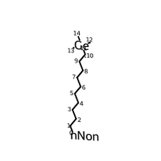 CCCCCCCCCCCCCCCCCC[CH][Ge]([CH3])([CH3])[CH3]